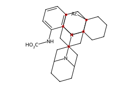 CC(=O)C1CCCCC1N(c1ccccc1NC(=O)O)C1CC2CCCC(C1)N2C1CC2CCCC(C2)C1